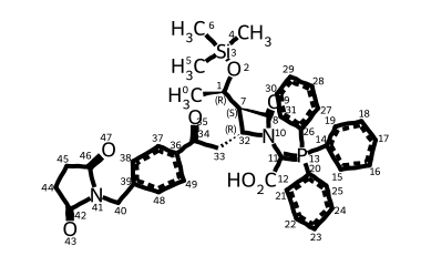 C[C@@H](O[Si](C)(C)C)[C@H]1C(=O)N(C(C(=O)O)=P(c2ccccc2)(c2ccccc2)c2ccccc2)[C@@H]1CC(=O)c1ccc(CN2C(=O)CCC2=O)cc1